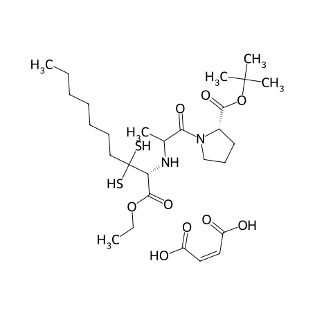 CCCCCCCC(S)(S)[C@H](NC(C)C(=O)N1CCC[C@H]1C(=O)OC(C)(C)C)C(=O)OCC.O=C(O)/C=C\C(=O)O